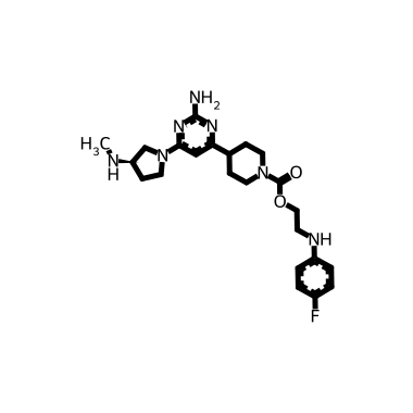 CN[C@@H]1CCN(c2cc(C3CCN(C(=O)OCCNc4ccc(F)cc4)CC3)nc(N)n2)C1